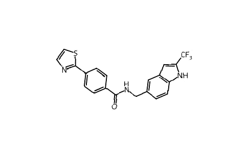 O=C(NCc1ccc2[nH]c(C(F)(F)F)cc2c1)c1ccc(-c2nccs2)cc1